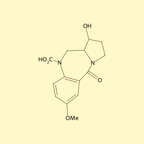 COc1ccc2c(c1)C(=O)N1CCC(O)C1CN2C(=O)O